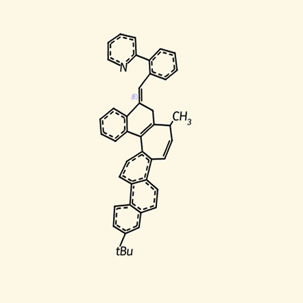 CC1C=Cc2c(ccc3c2ccc2cc(C(C)(C)C)ccc23)C2=C1C/C(=C\c1ccccc1-c1ccccn1)c1ccccc12